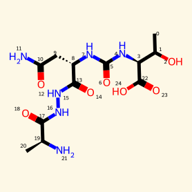 CC(O)[C@H](NC(=O)N[C@@H](CC(N)=O)C(=O)NNC(=O)[C@H](C)N)C(=O)O